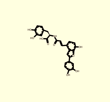 O=C(/C=C/c1ccc(O)c2oc(-c3ccc(O)c(O)c3)cc12)N[C@H](Cc1ccc(O)c(O)c1)C(=O)O